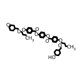 CCCC(OCC1CCC(O)CC1)Oc1ccc(C(=O)Oc2ccc(OC(=O)c3ccc(OC(CCC)OCC4CCC5OC5C4)cc3)cc2)cc1